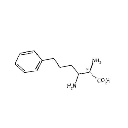 NC(CCCc1ccccc1)[C@H](N)C(=O)O